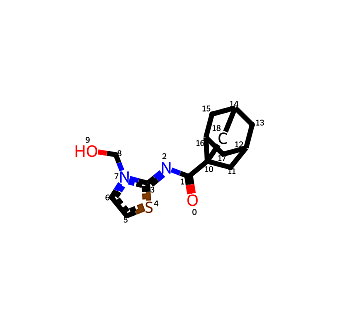 O=C(N=c1sccn1CO)C12CC3CC(CC1C3)C2